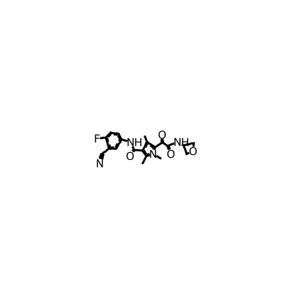 Cc1c(C(=O)Nc2ccc(F)c(C#N)c2)c(C)n(C)c1C(=O)C(=O)NC1COC1